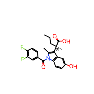 CCC[C@@](C)(C(=O)O)c1c(C)n(C(=O)c2ccc(F)c(F)c2)c2ccc(O)cc12